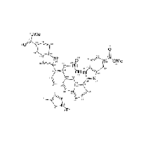 CCN1C=CN(C)C1.COC(=O)c1ccc2[nH]c(-c3ccc4cc5cccc(-c6nc7cc(C(=O)OC)ccc7[nH]6)c5cc4c3O[PH](=O)O)nc2c1